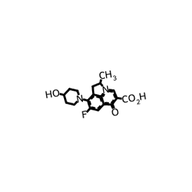 CC1Cc2c(N3CCC(O)CC3)c(F)cc3c(=O)c(C(=O)O)cn1c23